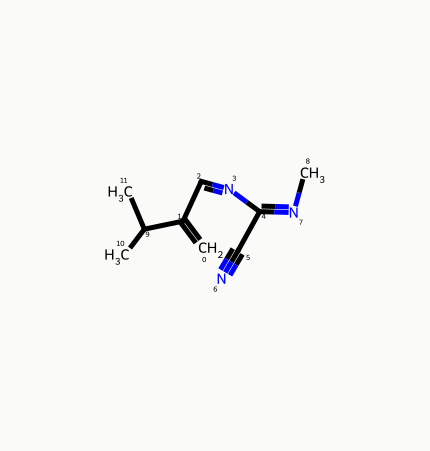 C=C(/C=N\C(C#N)=N/C)C(C)C